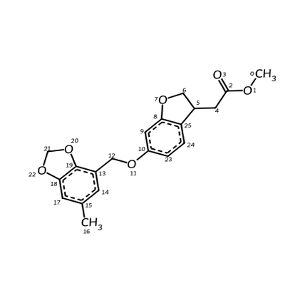 COC(=O)CC1COc2cc(OCc3cc(C)cc4c3OCO4)ccc21